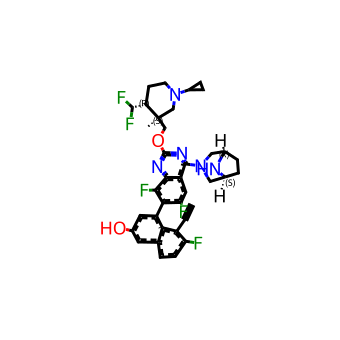 C#Cc1c(F)ccc2cc(O)cc(-c3c(F)cc4c(N5C[C@H]6CC[C@@H](C5)N6)nc(OC[C@]5(C)CN(C6CC6)CC[C@H]5C(F)F)nc4c3F)c12